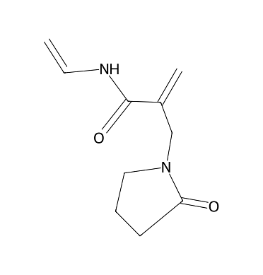 C=CNC(=O)C(=C)CN1CCCC1=O